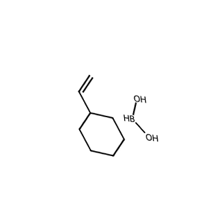 C=CC1CCCCC1.OBO